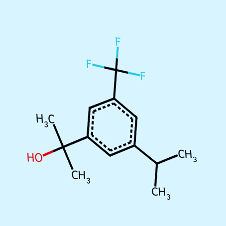 CC(C)c1cc(C(C)(C)O)cc(C(F)(F)F)c1